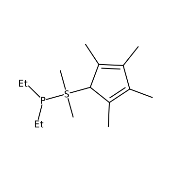 CCP(CC)S(C)(C)C1C(C)=C(C)C(C)=C1C